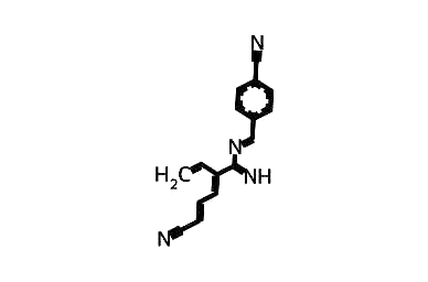 C=C/C(=C\C=C\C#N)C(=N)/N=C/c1ccc(C#N)cc1